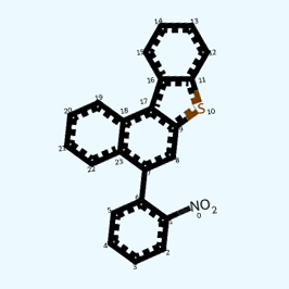 O=[N+]([O-])c1ccccc1-c1cc2sc3ccccc3c2c2ccccc12